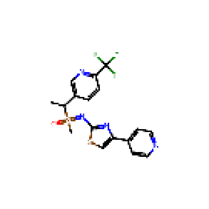 CC(c1ccc(C(F)(F)F)nc1)S(C)(=O)=Nc1nc(-c2ccncc2)cs1